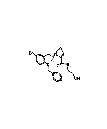 CCN(Cc1cc(Br)ccc1OCc1ccccc1)N1CSC=C1C(=O)NCCO